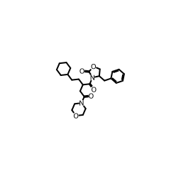 O=C(CC(CCC1CCCCC1)C(=O)N1C(=O)OCC1Cc1ccccc1)N1CCOCC1